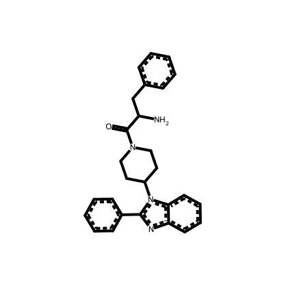 NC(Cc1ccccc1)C(=O)N1CCC(n2c(-c3ccccc3)nc3ccccc32)CC1